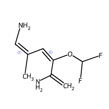 C=C(N)/C(=C\C(C)=C/N)OC(F)F